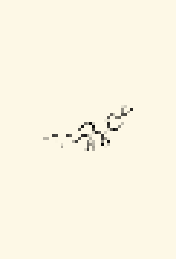 C=Nc1c(CC(=O)O)cccc1C(=O)c1ccc(Br)cc1